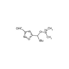 C[SiH](C)OC(c1cc(C=O)no1)C(C)(C)C